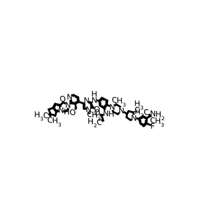 C=CC(=O)Nc1cc(Nc2nc(-c3ccnc(N4CCn5c(cc6c5CC(C)(C)C6)C4=O)c3CO)cn(C)c2=O)ccc1N1CCN(C2CCN(c3ccc(F)c(C(C)(C)N)c3)[C@H](C)C2)C[C@@H]1C